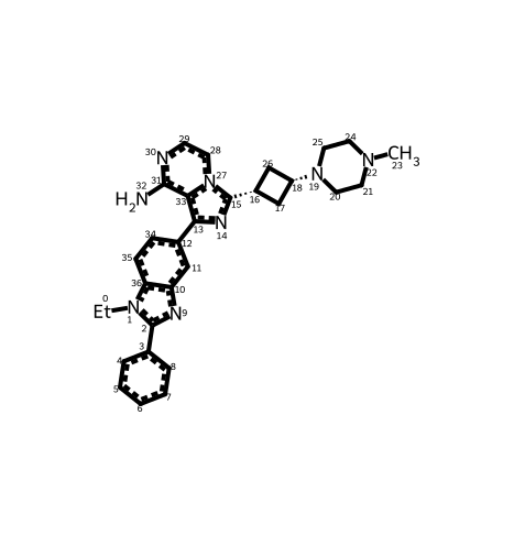 CCn1c(-c2ccccc2)nc2cc(-c3nc([C@H]4C[C@@H](N5CCN(C)CC5)C4)n4ccnc(N)c34)ccc21